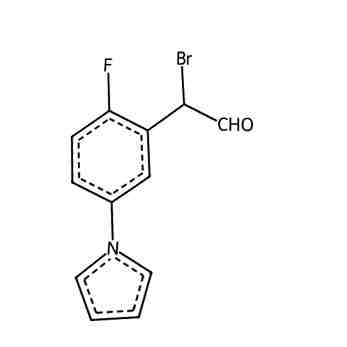 O=CC(Br)c1cc(-n2cccc2)ccc1F